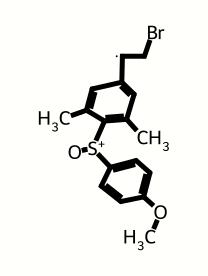 COc1ccc([S+]([O-])c2c(C)cc([CH]CBr)cc2C)cc1